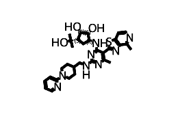 Cc1nc(NCC2CCN(c3ccccn3)CC2)nc(N[C@@H]2C[C@H](C(C)(C)O)[C@@H](O)[C@H]2O)c1-c1nc2c(C)nccc2s1